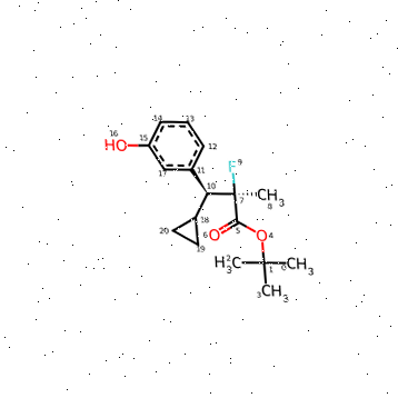 CC(C)(C)OC(=O)[C@](C)(F)[C@H](c1cccc(O)c1)C1CC1